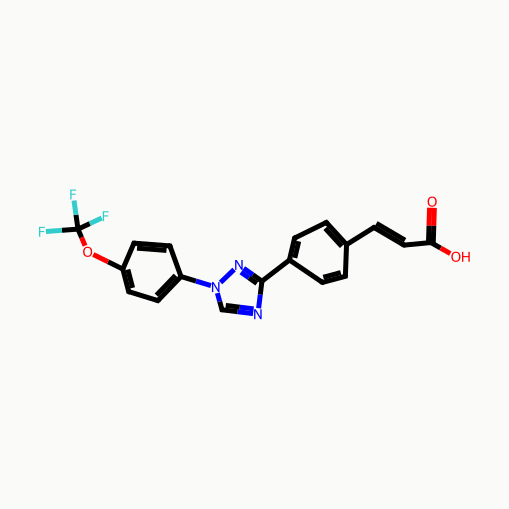 O=C(O)/C=C/c1ccc(-c2ncn(-c3ccc(OC(F)(F)F)cc3)n2)cc1